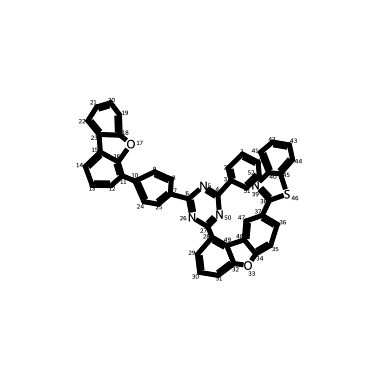 c1ccc(-c2nc(-c3ccc(-c4cccc5c4oc4ccccc45)cc3)nc(-c3cccc4oc5ccc(-c6nc7ccccc7s6)cc5c34)n2)cc1